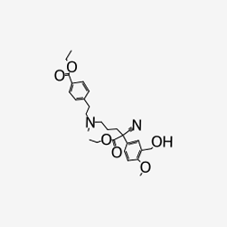 CCOC(=O)c1ccc(CCN(C)CCCC(C#N)(C(=O)OCC)c2ccc(OC)c(CO)c2)cc1